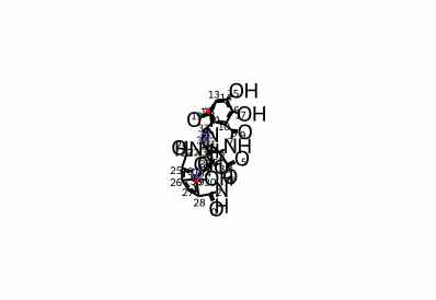 O=C1NOC(=O)C23NC(=O)c4c(cc(c(O)c4O)C(=O)NC24NC(=O)c2c(cc1c(O)c2O)/C=C\C4=O)/C=C\C3=O